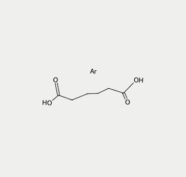 O=C(O)CCCCC(=O)O.[Ar]